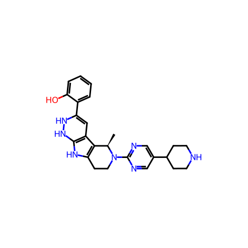 C[C@@H]1c2c([nH]c3c2C=C(c2ccccc2O)NN3)CCN1c1ncc(C2CCNCC2)cn1